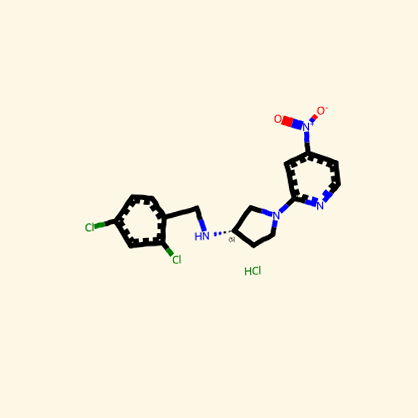 Cl.O=[N+]([O-])c1ccnc(N2CC[C@H](NCc3ccc(Cl)cc3Cl)C2)c1